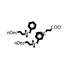 CCCCCCCCCCCC[N+](C)(C)Cc1ccccc1.CCCCCCCCCCCC[N+](C)(C)Cc1ccccc1.O=C([O-])CCC(=O)[O-]